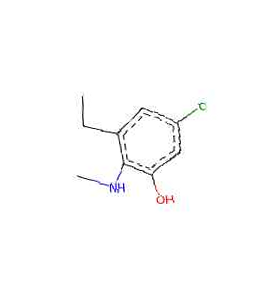 CCc1cc(Cl)cc(O)c1NC